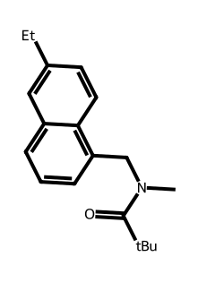 CCc1ccc2c(CN(C)C(=O)C(C)(C)C)cccc2c1